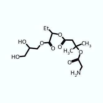 CCC(OC(=O)CC(C)(C)OC(=O)CN)C(=O)OCC(O)CO